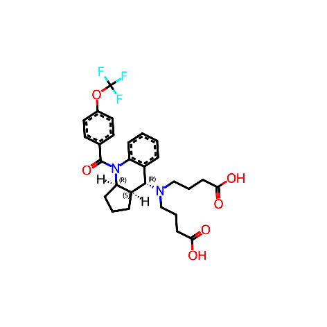 O=C(O)CCCN(CCCC(=O)O)[C@H]1c2ccccc2N(C(=O)c2ccc(OC(F)(F)F)cc2)[C@@H]2CCC[C@@H]21